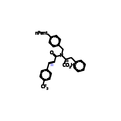 CCCCCc1ccc(CN(C(=O)/C=C/c2ccc(C(F)(F)F)cc2)[C@@H](Cc2ccccc2)C(=O)O)cc1